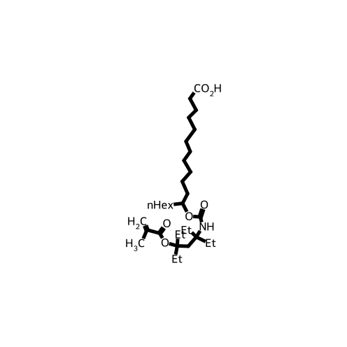 C=C(C)C(=O)OC(CC)(CC)CC(CC)(CC)NC(=O)OC(CCCCCC)CCCCCCCCCCC(=O)O